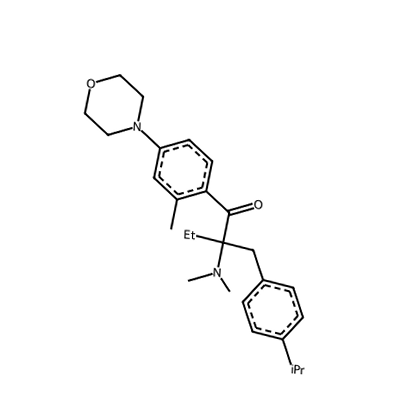 CCC(Cc1ccc(C(C)C)cc1)(C(=O)c1ccc(N2CCOCC2)cc1C)N(C)C